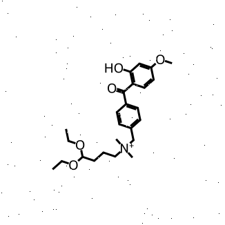 CCOC(CCC[N+](C)(C)Cc1ccc(C(=O)c2ccc(OC)cc2O)cc1)OCC